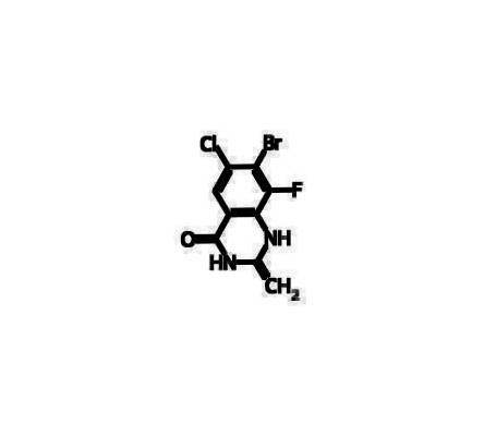 C=C1NC(=O)c2cc(Cl)c(Br)c(F)c2N1